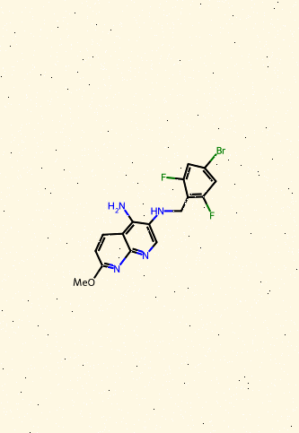 COc1ccc2c(N)c(NCc3c(F)cc(Br)cc3F)cnc2n1